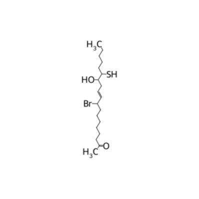 CCCCCC(S)C(O)CC=CC(Br)CCCCCCC(C)=O